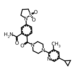 Cc1cc(C2CC2)cnc1N1CCN(C(=O)c2ccc(N3CCCS3(=O)=O)cc2C(N)=O)CC1